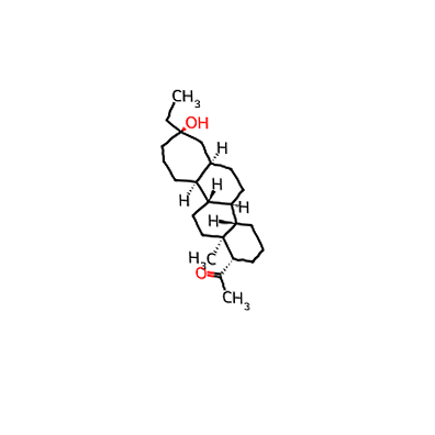 CC[C@@]1(O)CCC[C@H]2[C@H](CC[C@@H]3[C@@H]2CC[C@]2(C)[C@@H](C(C)=O)CCC[C@@H]32)C1